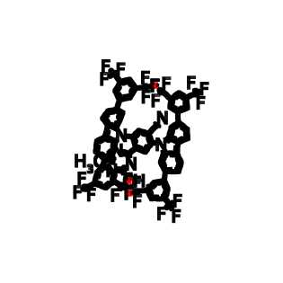 Cc1nc(C)nc(-c2cc(-n3c4cc(-c5cc(C(F)(F)F)cc(C(F)(F)F)c5)ccc4c4ccc(-c5cc(C(F)(F)F)cc(C(F)(F)F)c5)cc43)c(C#N)cc2-n2c3cc(-c4cc(C(F)(F)F)cc(C(F)(F)F)c4)ccc3c3ccc(-c4cc(C(F)(F)F)cc(C(F)(F)F)c4)cc32)n1